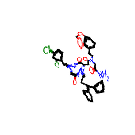 NC(=O)CN(CCc1cccc2c1OCO2)C(=O)CC1C(=O)N(CCc2ccc(Cl)cc2Cl)CC(=O)N1CCC(c1ccccc1)c1ccccc1